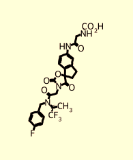 C[C@H](N(Cc1ccc(F)cc1)C(=O)CN1C(=O)OC2(CCc3cc(NC(=O)CNC(=O)O)ccc32)C1=O)C(F)(F)F